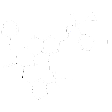 CS(=O)(=O)c1cccc(C[C@H](NC(=O)c2c(Cl)cc(/C=C/P(=O)(c3cccc(O)c3)C3CC3)cc2Cl)C(=O)OCc2ccccc2)c1